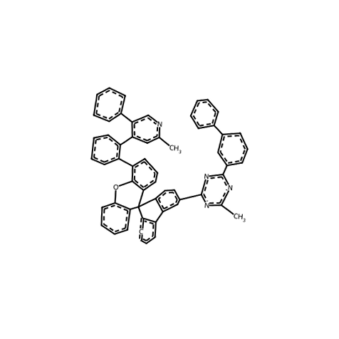 Cc1cc(-c2ccccc2-c2cccc3c2Oc2ccccc2C32c3ccccc3-c3cc(-c4nc(C)nc(-c5cccc(-c6ccccc6)c5)n4)ccc32)c(-c2ccccc2)cn1